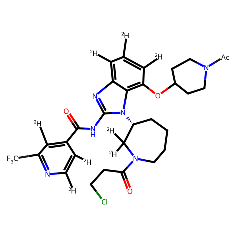 [2H]c1nc(C(F)(F)F)c([2H])c(C(=O)Nc2nc3c([2H])c([2H])c([2H])c(OC4CCN(C(C)=O)CC4)c3n2[C@@H]2CCCCN(C(=O)CCCl)C2([2H])[2H])c1[2H]